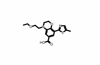 CCOCCN1CCOc2c(-c3ncc(C)s3)cc(C(=O)O)cc21